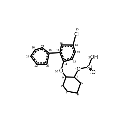 O=S(O)OC1CCCCC1Oc1ccc(Cl)cc1-c1ccccc1